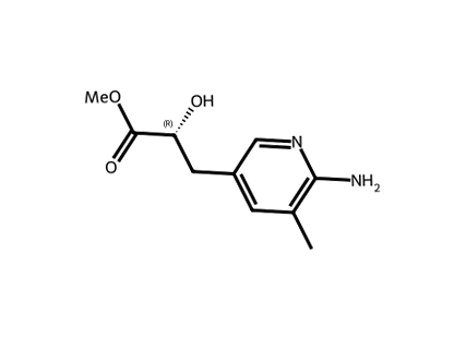 COC(=O)[C@H](O)Cc1cnc(N)c(C)c1